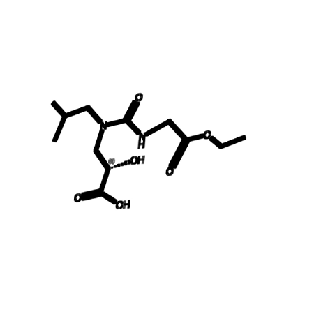 CCOC(=O)CNC(=O)N(CC(C)C)C[C@H](O)C(=O)O